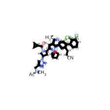 CC(=O)N(C)Cc1cn(C2CC(c3cc4c(C)nc5c(F)c(-c6cccc(Cl)c6Cl)c(CCC#N)cc5c4n3C3C4CNC3C4)N(C(=O)C3CC3)C2)nn1